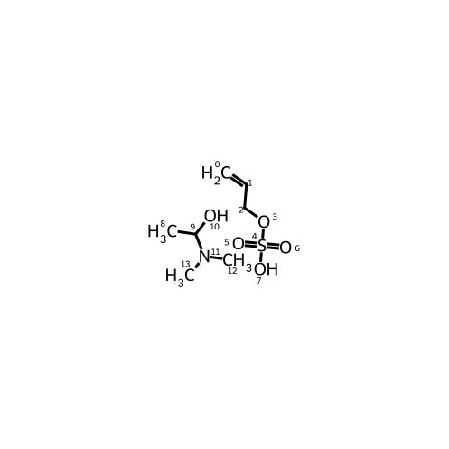 C=CCOS(=O)(=O)O.CC(O)N(C)C